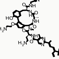 C=C/C(=C\C=C(/C)c1ncc(C(=O)N[C@@H](CCN)C(=O)N(C)[C@@H]2C(=O)N[C@@H](C)C(=O)N[C@H](C(=O)NCC#N)Cc3ccc(O)c(c3)-c3cc2ccc3OCCN)c(C)n1)C(C)(C)C